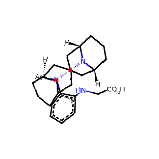 CC(=O)N(c1ccccc1NCC(=O)O)[C@H]1C[C@H]2CCC[C@@H](C1)N2[C@H]1C[C@@H]2CCC[C@@H](C2)C1